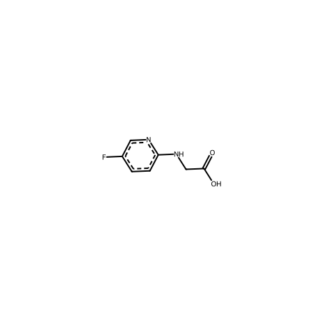 O=C(O)CNc1ccc(F)cn1